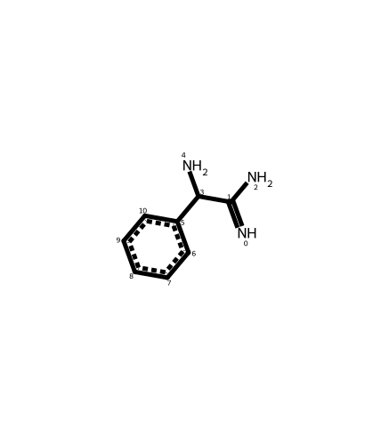 N=C(N)C(N)c1ccccc1